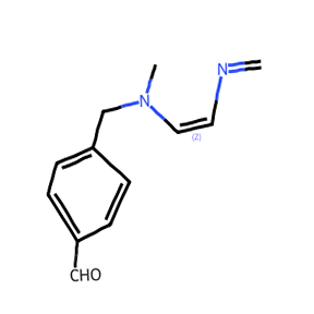 C=N/C=C\N(C)Cc1ccc(C=O)cc1